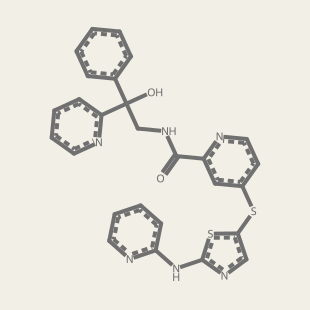 O=C(NCC(O)(c1ccccc1)c1ccccn1)c1cc(Sc2cnc(Nc3ccccn3)s2)ccn1